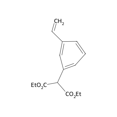 C=Cc1cccc(C(C(=O)OCC)C(=O)OCC)c1